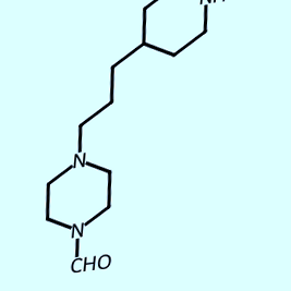 O=CN1CCN(CCCC2CCNCC2)CC1